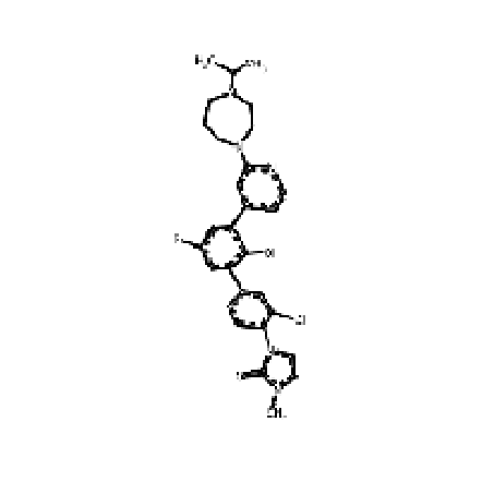 CC(C)N1CCCN(c2cc(-c3cc(F)cc(-c4ccc(-n5ccn(C)c5=O)c(Cl)c4)c3O)ccn2)CC1